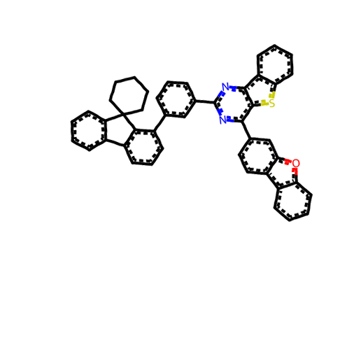 c1cc(-c2nc(-c3ccc4c(c3)oc3ccccc34)c3sc4ccccc4c3n2)cc(-c2cccc3c2C2(CCCCC2)c2ccccc2-3)c1